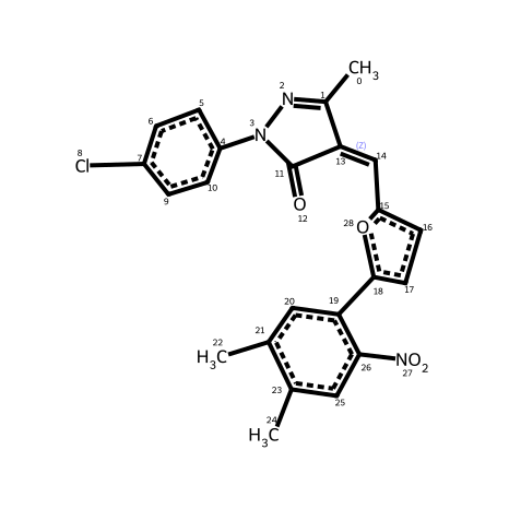 CC1=NN(c2ccc(Cl)cc2)C(=O)/C1=C\c1ccc(-c2cc(C)c(C)cc2[N+](=O)[O-])o1